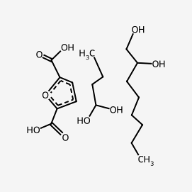 CCCC(O)O.CCCCCCC(O)CO.O=C(O)c1ccc(C(=O)O)o1